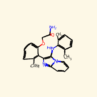 COc1cccc(OCC(N)=O)c1-c1nc2ccccn2c1Nc1c(C)cccc1C